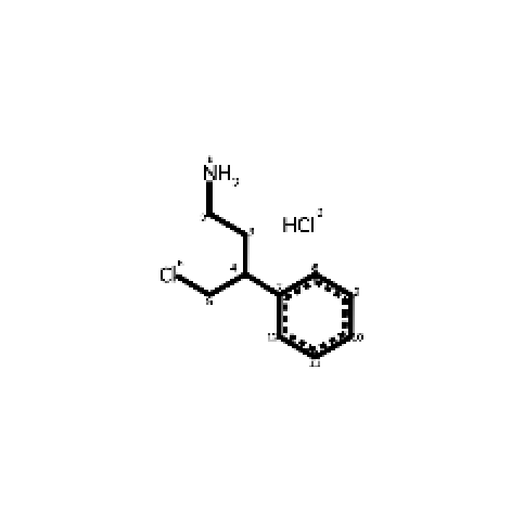 Cl.NCCC(CCl)c1ccccc1